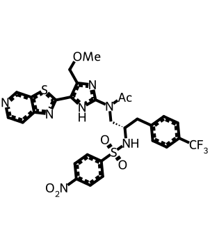 COCc1nc(N(C[C@H](Cc2ccc(C(F)(F)F)cc2)NS(=O)(=O)c2ccc([N+](=O)[O-])cc2)C(C)=O)[nH]c1-c1nc2ccncc2s1